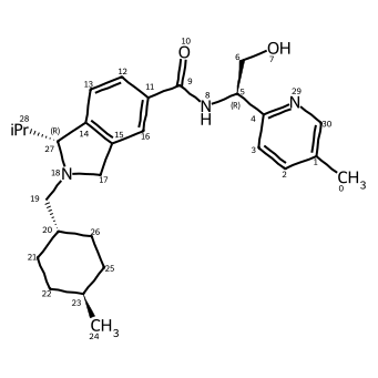 Cc1ccc([C@H](CO)NC(=O)c2ccc3c(c2)CN(C[C@H]2CC[C@H](C)CC2)[C@@H]3C(C)C)nc1